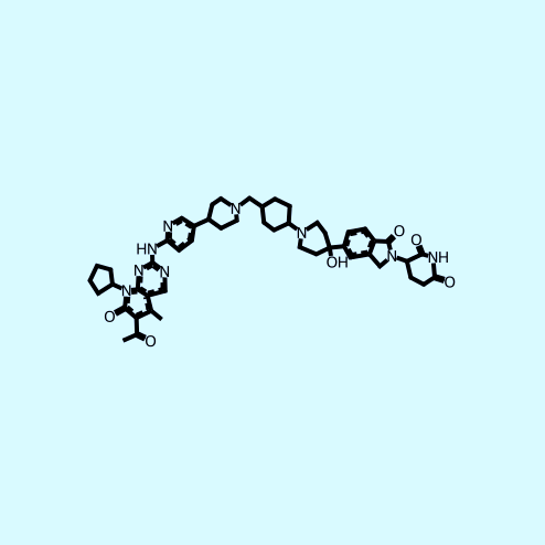 CC(=O)c1c(C)c2cnc(Nc3ccc(C4CCN(CC5CCC(N6CCC(O)(c7ccc8c(c7)CN(C7CCC(=O)NC7=O)C8=O)CC6)CC5)CC4)cn3)nc2n(C2CCCC2)c1=O